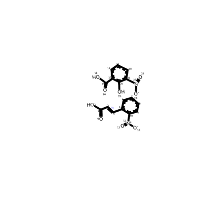 O=C(O)/C=C/c1ccccc1[N+](=O)[O-].O=C(O)c1cccc([N+](=O)[O-])c1O